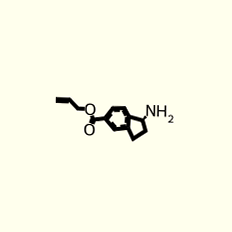 C=CCOC(=O)c1ccc2c(c1)CC[C@@H]2N